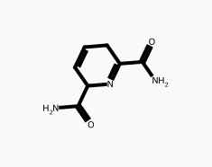 NC(=O)C1=NC(C(N)=O)C=CC1